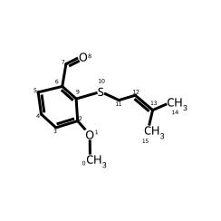 COc1cccc(C=O)c1SCC=C(C)C